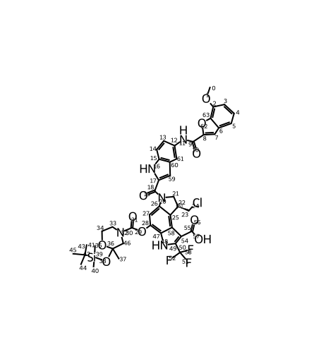 COc1cccc2cc(C(=O)Nc3ccc4[nH]c(C(=O)N5C[C@@H](CCl)c6c5cc(OC(=O)N5CCOC(C)(O[Si](C)(C)C(C)(C)C)C5)c5[nH]c(C(F)(F)F)c(C(=O)O)c65)cc4c3)oc12